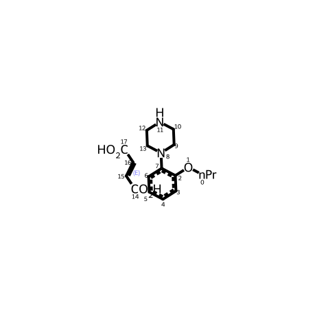 CCCOc1ccccc1N1CCNCC1.O=C(O)/C=C/C(=O)O